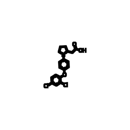 O=C(O)CC1CCCN1c1ccc(Oc2ccc(Cl)cc2Cl)cc1